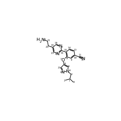 CC(C)Cn1cc(Oc2cc(C#N)ccc2-c2ncc(CCN)cn2)cn1